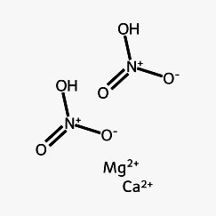 O=[N+]([O-])O.O=[N+]([O-])O.[Ca+2].[Mg+2]